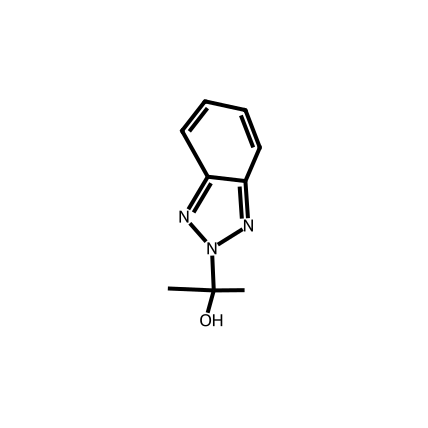 CC(C)(O)n1nc2ccccc2n1